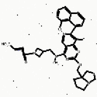 CN(CC1CN(C(=O)/C=C/C(=O)O)C1)c1nc(OCC23CCCN2CCC3)nc2c(F)c(-c3cccc4cccc(Cl)c34)ncc12